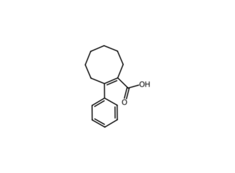 O=C(O)/C1=C(\c2ccccc2)CCCCCC1